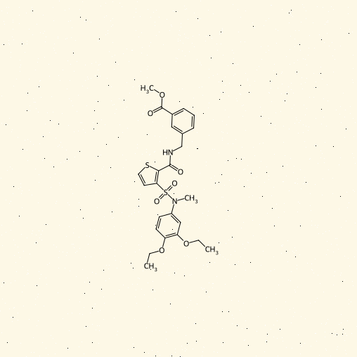 CCOc1ccc(N(C)S(=O)(=O)c2ccsc2C(=O)NCc2cccc(C(=O)OC)c2)cc1OCC